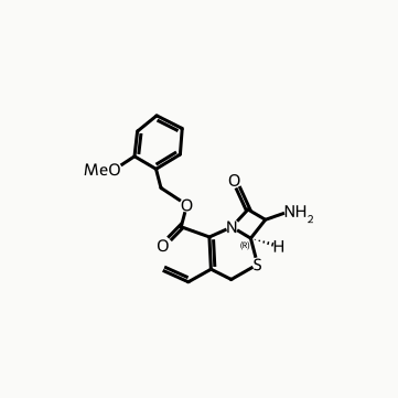 C=CC1=C(C(=O)OCc2ccccc2OC)N2C(=O)C(N)[C@H]2SC1